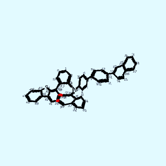 c1ccc(N(c2ccc(-c3ccc(-c4ccc5ccccc5c4)cc3)cc2)c2cccc3ccccc23)c(-c2cccc3c2sc2ccccc23)c1